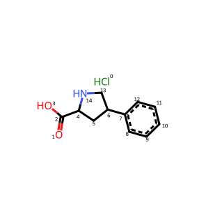 Cl.O=C(O)C1CC(c2ccccc2)CN1